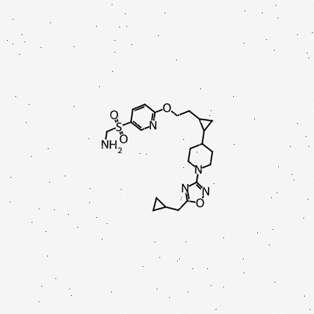 NCS(=O)(=O)c1ccc(OCCC2CC2C2CCN(c3noc(CC4CC4)n3)CC2)nc1